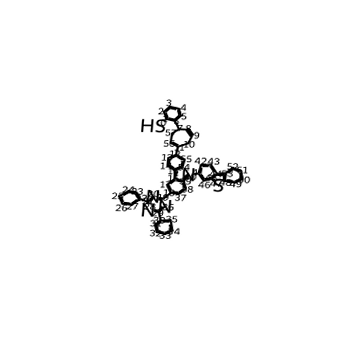 Sc1ccccc1C1C#CCC(c2ccc3c4cc(-c5nc(-c6ccccc6)nc(-c6ccccc6)n5)ccc4n(-c4ccc5c(c4)sc4ccccc45)c3c2)=CC1